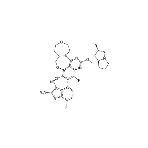 C[C@H]1CN2CCC[C@@]2(COc2nc3c4c(c(Cl)c(-c5ccc(F)c6sc(N)c(C#N)c56)c(F)c4n2)OCC2CCOCCN32)C1